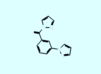 O=C(c1cccc(-n2cccn2)c1)n1cccn1